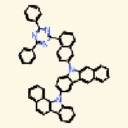 c1ccc(-c2nc(-c3ccccc3)nc(-c3cccc4cc(-n5c6ccc(-n7c8ccccc8c8ccc9ccccc9c87)cc6c6cc7ccccc7cc65)ccc34)n2)cc1